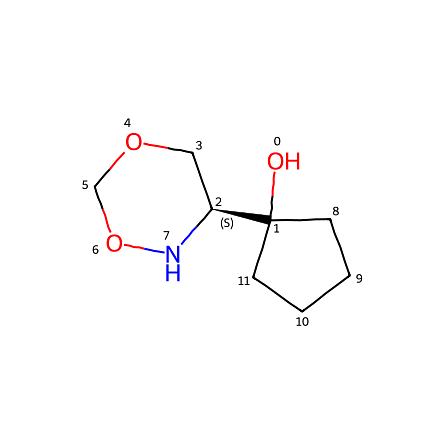 OC1([C@@H]2COCON2)CCCC1